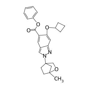 CC12CCC(n3cc4cc(C(=O)Oc5ccccc5)c(OC5CCC5)cc4n3)(CO1)C2